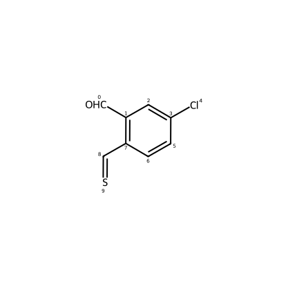 O=Cc1cc(Cl)ccc1C=S